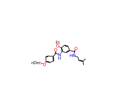 CCCCCCCCCCOc1ccc(C(=O)Nc2cc(C(=O)NCC=C(C)C)ccc2OCC)cc1